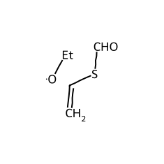 C=CSC=O.CC[O]